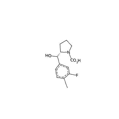 Cc1ccc(C(O)[C@@H]2CCCN2C(=O)O)cc1F